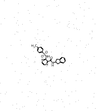 Cc1ccc(S(=O)(=O)Nc2nccnc2C(=O)NC2Cc3ccccc3C2)cc1